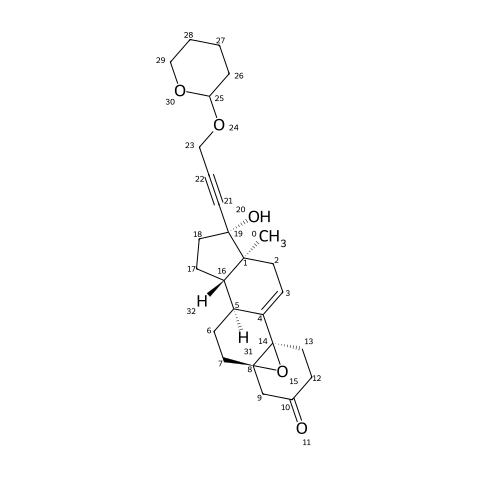 C[C@]12CC=C3[C@@H](CC[C@@]45CC(=O)CC[C@@]34O5)[C@@H]1CC[C@@]2(O)C#CCOC1CCCCO1